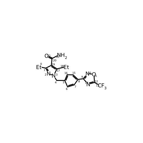 CCc1nn(Cc2ccc(-c3noc(C(F)(F)F)n3)cc2)c(CC)c1C(N)=O